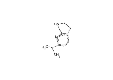 CC(C)c1ccc2c(n1)NCC2